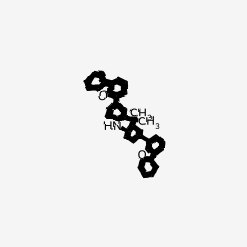 CC1(C)c2cc(-c3cccc4c3oc3ccccc34)ccc2Nc2ccc(-c3cccc4c3oc3ccccc34)cc21